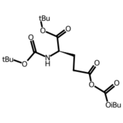 CC(C)COC(=O)OC(=O)CC[C@@H](NC(=O)OC(C)(C)C)C(=O)OC(C)(C)C